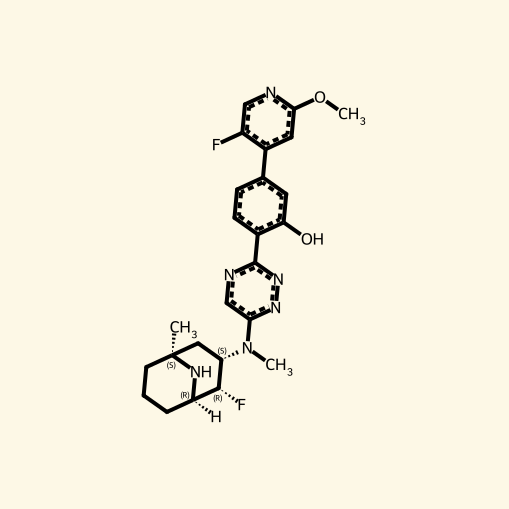 COc1cc(-c2ccc(-c3ncc(N(C)[C@H]4C[C@]5(C)CCC[C@@H](N5)[C@H]4F)nn3)c(O)c2)c(F)cn1